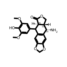 COc1cc(C2c3cc4c(cc3[C@@H](N)[C@H]3COC(=O)[C@H]23)OCO4)cc(OC)c1O